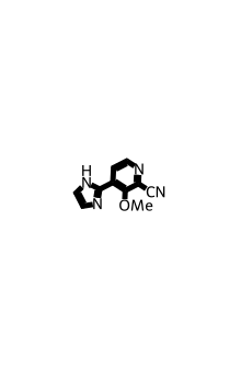 COc1c(-c2ncc[nH]2)ccnc1C#N